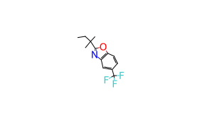 CCC(C)(C)c1nc2cc(C(F)(F)F)ccc2o1